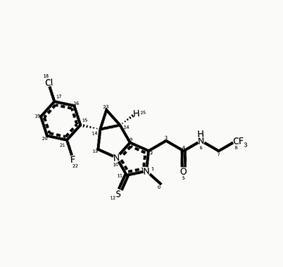 Cn1c(CC(=O)NCC(F)(F)F)c2n(c1=S)C[C@@]1(c3cc(Cl)ccc3F)C[C@@H]21